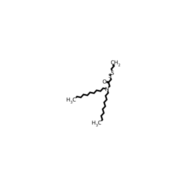 C=CCSSCC(=O)CN(CCCCCCCCCC)CCCCCCCCCC